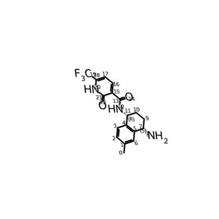 Cc1ccc2c(c1)[C@@H](N)CC[C@H]2NC(=O)c1ccc(C(F)(F)F)[nH]c1=O